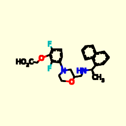 C[C@@H](NCC1CN(c2ccc(F)c(OCC(=O)O)c2F)CCO1)c1cccc2ccccc12